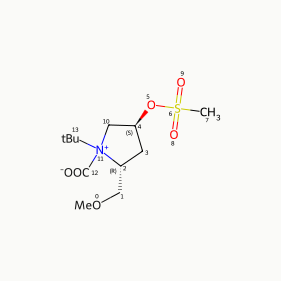 COC[C@H]1C[C@H](OS(C)(=O)=O)C[N+]1(C(=O)[O-])C(C)(C)C